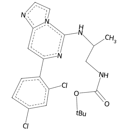 CC(CNC(=O)OC(C)(C)C)Nc1nc(-c2ccc(Cl)cc2Cl)cc2nccn12